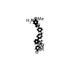 COc1cc2nn([C@H]3CC[C@H](CN4CCC(c5cccc6c5n(C)c(=O)n6C5CCC(=O)NC5=O)CC4)CC3)cc2cc1N